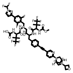 COC(=O)NC(C(=O)NC(Cc1ccc(C#Cc2ccc(N3C[C@H]4C[C@@H]3CN4C3COC3)nc2)cc1)C(O)CN(Cc1c(F)cc(-c2ccn(C(F)F)n2)cc1F)NC(=O)C(NC(=O)O)C(C)(C)C(F)(F)F)C(C)(C)C(F)(F)F